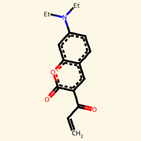 C=CC(=O)c1cc2ccc(N(CC)CC)cc2oc1=O